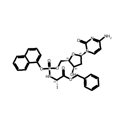 C[C@H](NP(=O)(OC[C@H]1O[C@@H](n2ccc(N)nc2=O)C[C@H]1O)Oc1cccc2ccccc12)C(=O)OCc1ccccc1